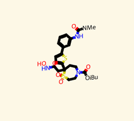 CNC(=O)Nc1cccc(-c2ccc(C3(CC(=O)NO)CCN(C(=O)OCC(C)C)CCS3(=O)=O)s2)c1